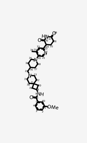 COc1cccc(C(=O)NC2CC3(CCN(CC4CCN(c5cnc(C6CCC(=O)NC6=O)cc5C)CC4)CC3)C2)c1